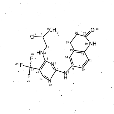 CC(Cl)CNc1nc(Nc2ccc3c(c2)CCC(=O)N3)ncc1C(F)(F)F